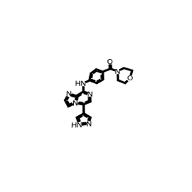 O=C(c1ccc(Nc2ncc(-c3cn[nH]c3)n3ccnc23)cc1)N1CCOCC1